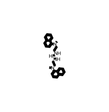 CN(CCNPNCCN(C)c1cccc2ccccc12)c1cccc2ccccc12